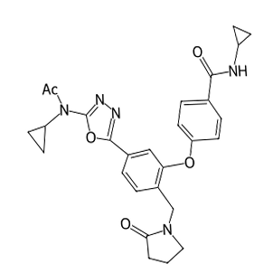 CC(=O)N(c1nnc(-c2ccc(CN3CCCC3=O)c(Oc3ccc(C(=O)NC4CC4)cc3)c2)o1)C1CC1